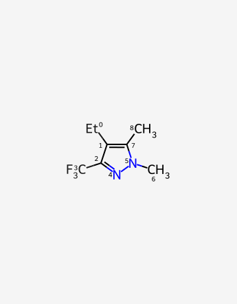 CCc1c(C(F)(F)F)nn(C)c1C